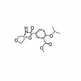 COC(=O)c1cc(S(=O)(=O)N[C@H]2CCOC2)ccc1OC(C)C